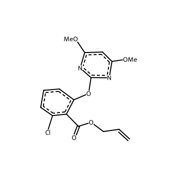 C=CCOC(=O)c1c(Cl)cccc1Oc1nc(OC)cc(OC)n1